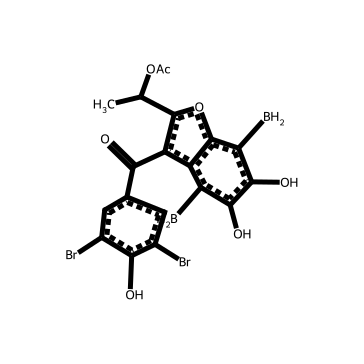 Bc1c(O)c(O)c(B)c2c(C(=O)c3cc(Br)c(O)c(Br)c3)c(C(C)OC(C)=O)oc12